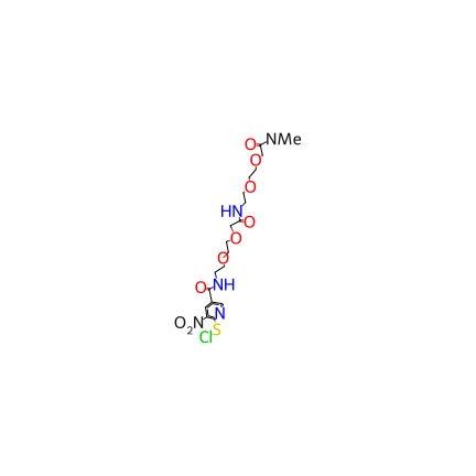 CNC(=O)COCCOCCNC(=O)COCCOCCNC(=O)c1cnc(SCl)c([N+](=O)[O-])c1